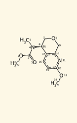 COC(=O)N(C)[C@H]1COCc2nc(OC)ccc21